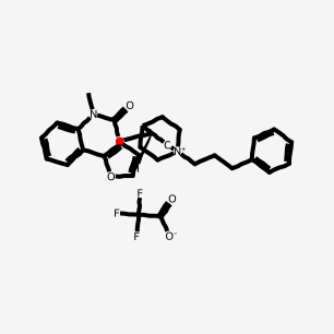 CN(C(=O)O[C@H]1C[N+]2(CCCc3ccccc3)CCC1CC2)c1ccccc1-c1ccco1.O=C([O-])C(F)(F)F